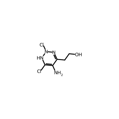 NC1=C(Cl)NN(Cl)N=C1CCO